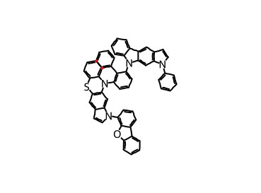 c1ccc(-c2c(N3c4ccccc4Sc4cc5ccn(-c6cccc7c6oc6ccccc67)c5cc43)cccc2-n2c3ccccc3c3cc4ccn(-c5ccccc5)c4cc32)cc1